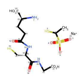 CC(S)S(=O)(=O)[O-].N[C@@H](CCC(=O)N[C@@H](CS)C(=O)NCC(=O)O)C(=O)O.[Na+]